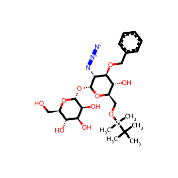 CC(C)(C)[Si](C)(C)OC[C@H]1O[C@H](O[C@H]2O[C@H](CO)[C@@H](O)[C@H](O)[C@@H]2O)[C@H](N=[N+]=[N-])[C@@H](OCc2ccccc2)[C@@H]1O